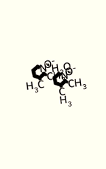 Cc1ccc[n+]([O-])c1C.Cc1ccc[n+]([O-])c1C.O